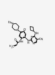 C=CC(=O)Nc1cc(N2CCN(CC)CC2)c(Cl)cc1Nc1ncc(C#N)c(NC2CCC2)n1